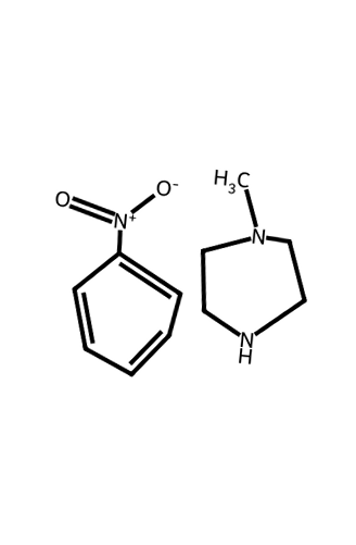 CN1CCNCC1.O=[N+]([O-])c1ccccc1